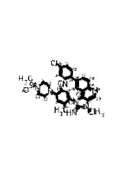 Cc1cc(N2CCN([S+](C)[O-])CC2)c(C#N)cc1-n1c(=N)n(C)c2cnc3ccc(-c4ccc(Cl)cc4)cc3c21